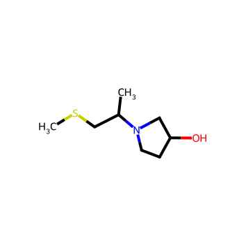 CSCC(C)N1CCC(O)C1